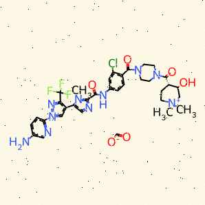 Cn1c(-c2cn(-c3ccc(N)cn3)nc2C(F)(F)F)cnc1C(=O)Nc1ccc(C(=O)N2CCN(C(=O)[C@H]3CC[N+](C)(C)C[C@@H]3O)CC2)c(Cl)c1.O=C[O-]